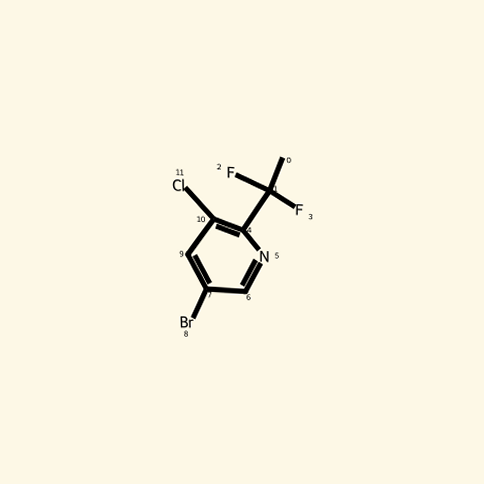 [CH2]C(F)(F)c1ncc(Br)cc1Cl